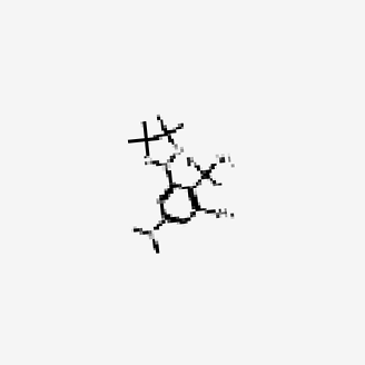 Bc1cc(N(C)C)cc(B2OC(C)(C)C(C)(C)O2)c1C(B)(F)F